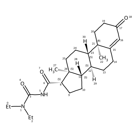 CCN(CC)C(=O)NC(=O)[C@H]1CC[C@H]2[C@@H]3CCC4=CC(=O)CC[C@]4(C)[C@H]3CC[C@]12C